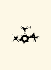 FC(F)(F)Oc1ccc(C2CC2(Cl)Cl)cc1.O=C(O)Cl